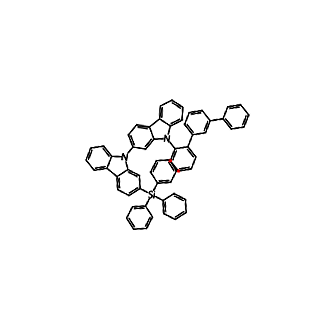 c1ccc(-c2cccc(-c3ccccc3-n3c4ccccc4c4ccc(-n5c6ccccc6c6ccc([Si](c7ccccc7)(c7ccccc7)c7ccccc7)cc65)cc43)c2)cc1